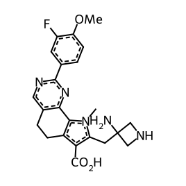 COc1ccc(-c2ncc3c(n2)-c2c(c(C(=O)O)c(CC4(N)CNC4)n2C)CC3)cc1F